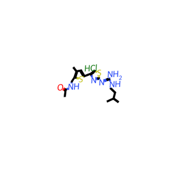 CC(=O)NCc1sc(-c2csc(/N=C(\N)NCCC(C)C)n2)cc1C.Cl